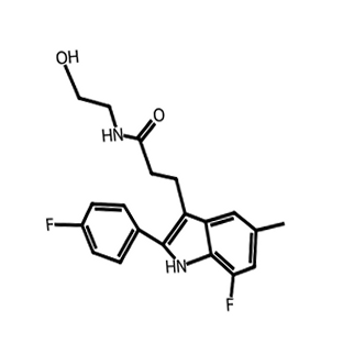 Cc1cc(F)c2[nH]c(-c3ccc(F)cc3)c(CCC(=O)NCCO)c2c1